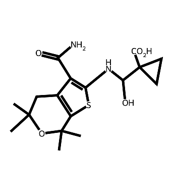 CC1(C)Cc2c(sc(NC(O)C3(C(=O)O)CC3)c2C(N)=O)C(C)(C)O1